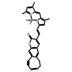 CC1=CC(C)=[N+]2C1=Cc1c(C)cc(/C=C/c3cc4cc5c(cc4oc3=O)C#C/C=C\CC5)n1[B-]2(F)F